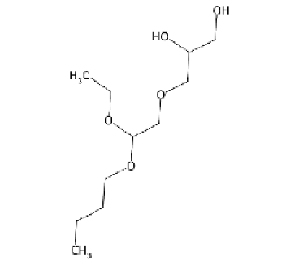 CCCCOC(COCC(O)CO)OCC